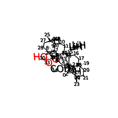 C[C@@H]1[C@H]2[C@H]3CC[C@@H]4[C@]5(C)[C@@H](CC[C@@]4(C)[C@]3(C)CC[C@@]2(C)CC[C@H]1C)C(C)(C)CCC5(O)C(=O)OC(=O)O.[LiH].[LiH]